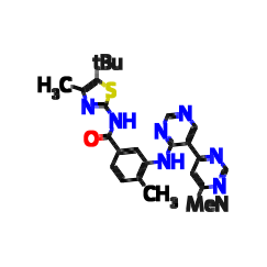 CNc1cc(-c2cncnc2Nc2cc(C(=O)Nc3nc(C)c(C(C)(C)C)s3)ccc2C)ncn1